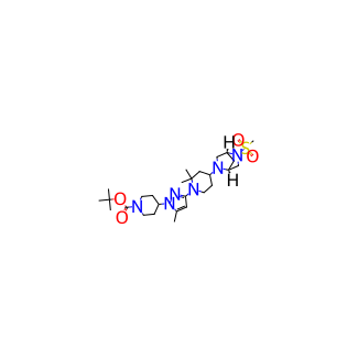 Cc1cc(N2CCC(N3C[C@H]4C[C@@H]3CN4S(C)(=O)=O)CC2(C)C)nn1C1CCN(C(=O)OC(C)(C)C)CC1